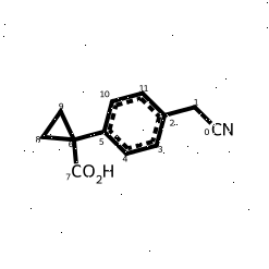 N#CCc1ccc(C2(C(=O)O)CC2)cc1